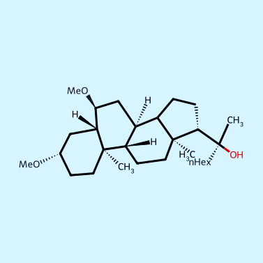 CCCCCC[C@](C)(O)[C@H]1CCC2[C@@H]3C[C@H](OC)[C@H]4C[C@@H](OC)CC[C@]4(C)[C@H]3CC[C@@]21C